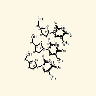 Cc1cn([C@H]2CC[C@@H](CO)O2)c(=O)[nH]c1=O.Cc1cn([C@H]2CC[C@@H](CO)O2)c(=O)[nH]c1=O.Cc1cn([C@H]2CC[C@@H](CO)O2)c(=O)[nH]c1=O